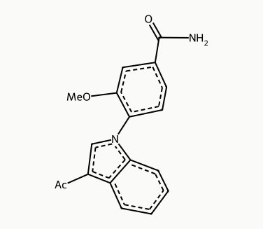 COc1cc(C(N)=O)ccc1-n1cc(C(C)=O)c2ccccc21